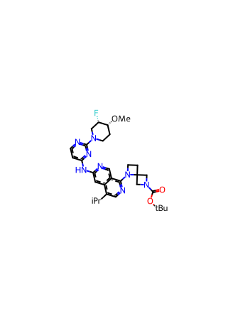 CO[C@@H]1CCN(c2nccc(Nc3cc4c(C(C)C)cnc(N5CCC56CN(C(=O)OC(C)(C)C)C6)c4cn3)n2)C[C@@H]1F